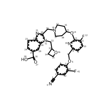 N#Cc1ccc(OCc2ccc(F)c(OC3CCN(Cc4nc5ccc(C(=O)O)cc5n4CC4CCO4)CC3)n2)c(F)c1